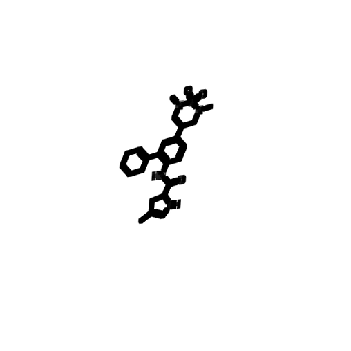 CC1=CNC(C(=O)Nc2ccc(C3CN(C)S(=O)(=O)N(C)C3)cc2C2=CCCCC2)C1